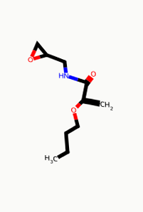 C=C(OCCCC)C(=O)NCC1CO1